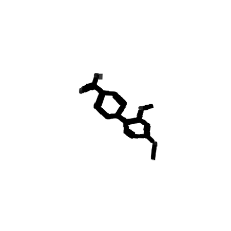 COc1ccc(C2C=CC(C(=O)O)=CC2)c(OC)c1